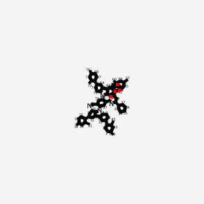 Cc1ccc(-c2ccc3c(c2)c2cc(-c4ccc(C)cc4C)ccc2n3-c2cc(-c3nc(-c4ccccc4)cc(-c4ccccc4)n3)c(-n3c4ccc(-c5ccc(C)cc5C)cc4c4cc(-c5ccc(C)cc5C)ccc43)cc2C#N)c(C)c1